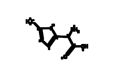 Cc1ccc(C(N)C(=O)O)s1